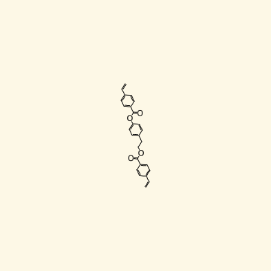 C=Cc1ccc(C(=O)OCCc2ccc(OC(=O)c3ccc(C=C)cc3)cc2)cc1